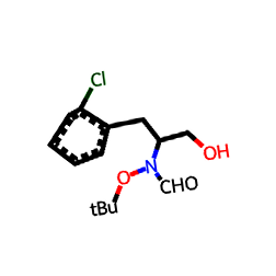 CC(C)(C)ON(C=O)C(CO)Cc1ccccc1Cl